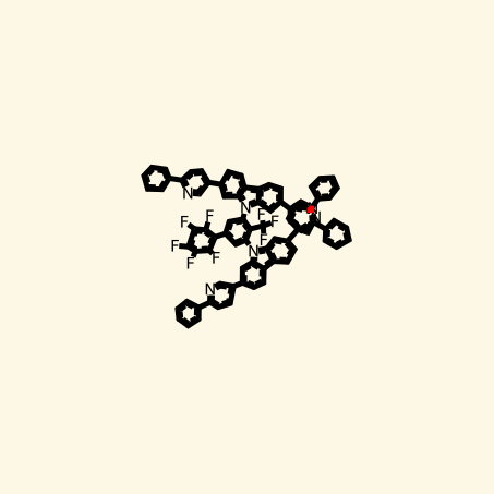 Fc1c(F)c(F)c(-c2cc(-n3c4cc(-c5ccc(-c6ccccc6)nc5)ccc4c4ccc(-c5ccc(-c6ccccc6)nc5)cc43)c(C(F)(F)F)c(-n3c4cc(-c5ccc(-c6ccccc6)nc5)ccc4c4ccc(-c5ccc(-c6ccccc6)nc5)cc43)c2)c(F)c1F